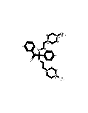 CN1CCN(CCOC(OCCN2CCN(C)CC2)(C(=O)c2ccccc2)c2ccccc2)CC1